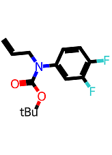 C=CCN(C(=O)OC(C)(C)C)c1ccc(F)c(F)c1